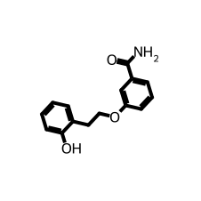 NC(=O)c1cccc(OCCc2ccccc2O)c1